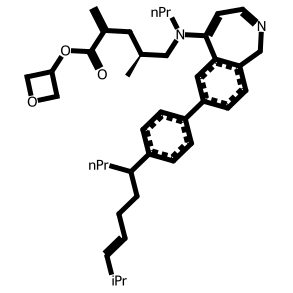 C=C(C[C@H](C)CN(CCC)C1=CC=NCc2ccc(-c3ccc(C(CCC)CC/C=C/C(C)C)cc3)cc21)C(=O)OC1COC1